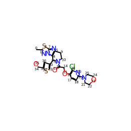 Cc1nn2c3c(nc2s1)CCN(C(=O)COc1ccc(N2CCOCC2)nc1Cl)C3c1csc(C=O)c1